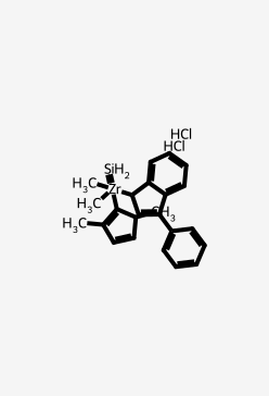 CC1=[C]([Zr]([CH3])([CH3])(=[SiH2])[CH]2C=C(c3ccccc3)c3ccccc32)C(C)C=C1.Cl.Cl